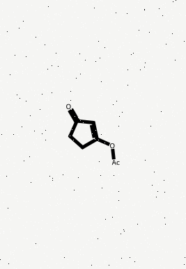 CC(=O)OC1=CC(=O)CC1